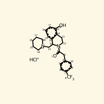 Cl.O=C(Cc1ccc(C(F)(F)F)cc1)N1CCc2c(O)cccc2C1CN1CCCCC1